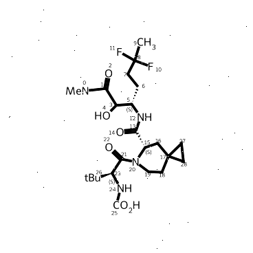 CNC(=O)C(O)[C@H](CCC(C)(F)F)NC(=O)[C@@H]1CC2(CCN1C(=O)[C@@H](NC(=O)O)C(C)(C)C)CC2